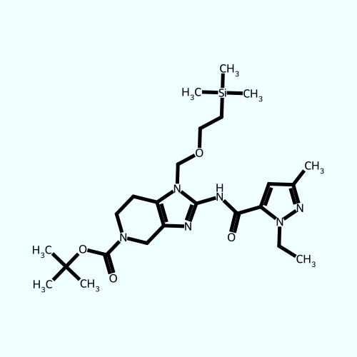 CCn1nc(C)cc1C(=O)Nc1nc2c(n1COCC[Si](C)(C)C)CCN(C(=O)OC(C)(C)C)C2